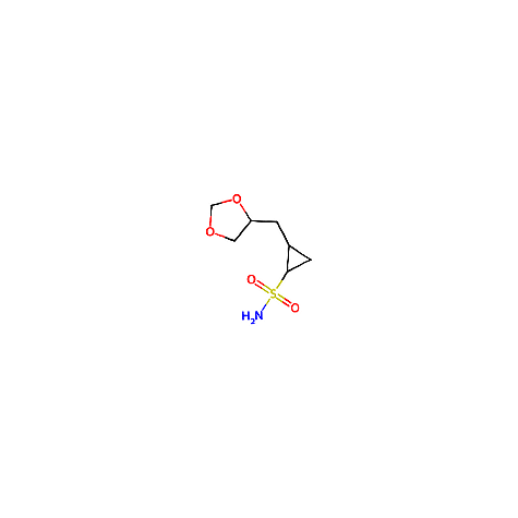 NS(=O)(=O)C1CC1CC1COCO1